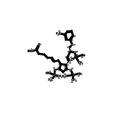 COC(=O)CCCC=CCC1[C@H](O[Si](C)(C)C(C)(C)C)C[C@@H](O[Si](C)(C)C(C)(C)C)[C@H]1C=C[C@H](COc1cccc(C(F)(F)F)c1)O[Si](C)(C)C(C)(C)C